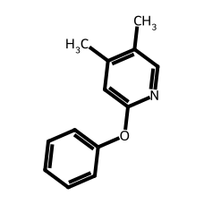 Cc1cnc(Oc2ccccc2)cc1C